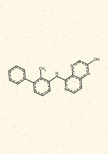 Cc1c(Nc2nccc3nc(O)cnc23)cccc1-c1ccccc1